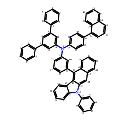 c1ccc(-c2cc(-c3ccccc3)cc(N(c3ccc(-c4cccc5ccccc45)cc3)c3cccc(-c4c5ccccc5cc5c4c4ccccc4n5-c4ccccc4)c3)c2)cc1